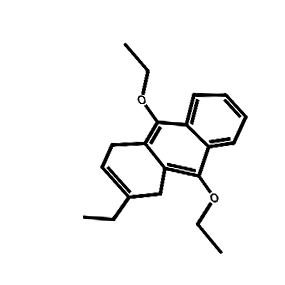 CCOc1c2c(c(OCC)c3ccccc13)CC(CC)=CC2